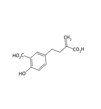 C=C(CCc1ccc(O)c(C(=O)O)c1)C(=O)O